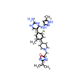 Cc1cc(Nc2nc(N)ncc2-c2cc(C)c(C3CCN(Cc4nc(C(C)C)no4)CC3)cc2F)n[nH]1